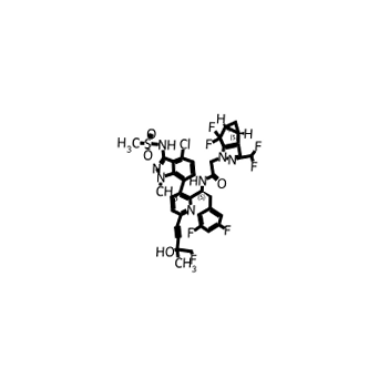 Cn1nc(NS(C)(=O)=O)c2c(Cl)ccc(-c3ccc(C#CC(C)(O)CF)nc3[C@H](Cc3cc(F)cc(F)c3)NC(=O)Cn3nc(C(F)F)c4c3C(F)(F)[C@@H]3C[C@H]43)c21